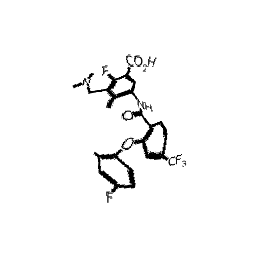 Cc1cc(F)ccc1Oc1cc(C(F)(F)F)ccc1C(=O)Nc1cc(C(=O)O)c(F)c(CN(C)C)c1C